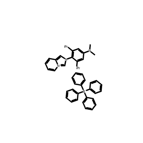 CC(C)c1cc(N(C)C)cc(C(C)C)c1-n1cc2cccc[n+]2c1.c1ccc([B-](c2ccccc2)(c2ccccc2)c2ccccc2)cc1